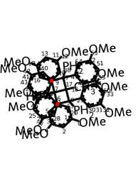 COc1cc(OC)cc(C(P)(c2cc(OC)cc(OC)c2)C(C)(C(P)(c2cc(OC)cc(OC)c2)c2cc(OC)cc(OC)c2)C(P)(c2cc(OC)cc(OC)c2)c2cc(OC)cc(OC)c2)c1